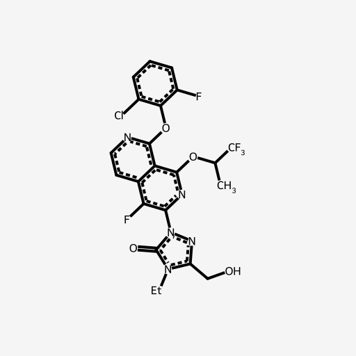 CCn1c(CO)nn(-c2nc(OC(C)C(F)(F)F)c3c(Oc4c(F)cccc4Cl)nccc3c2F)c1=O